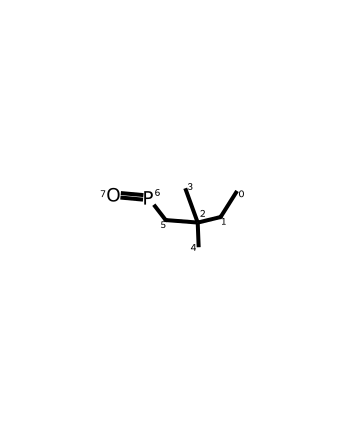 CCC(C)(C)CP=O